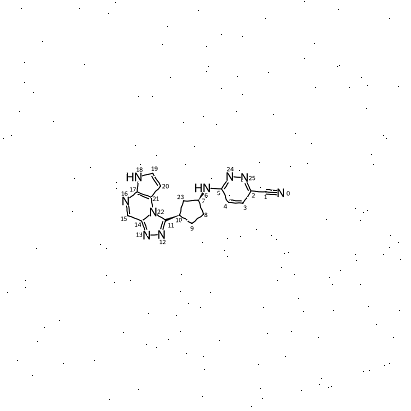 N#Cc1ccc(N[C@H]2CC[C@@H](c3nnc4cnc5[nH]ccc5n34)C2)nn1